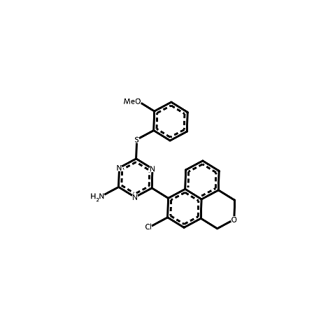 COc1ccccc1Sc1nc(N)nc(-c2c(Cl)cc3c4c(cccc24)COC3)n1